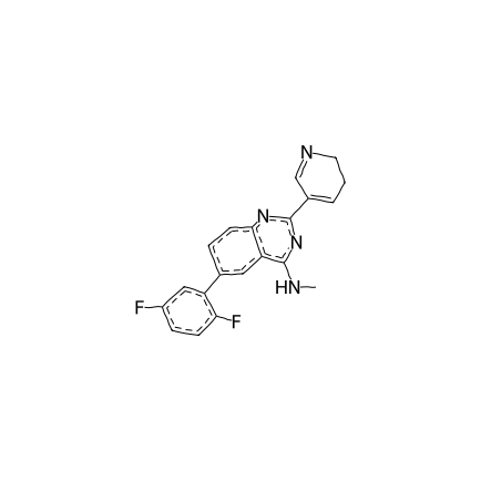 CNc1nc(C2=CCCN=C2)nc2ccc(-c3cc(F)ccc3F)cc12